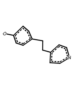 [O]c1ccc(CCc2ccncc2)cc1